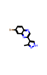 Cc1n[nH]cc1-c1cnc2ccc(Br)cc2n1